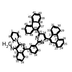 C=Nc1c(N2C=CC=CC2)nc(-c2cccc(-c3nc(-c4cc5ccccc5c5ccccc45)cc(-c4cc5ccccc5c5ccccc45)n3)c2)c2ccccc12